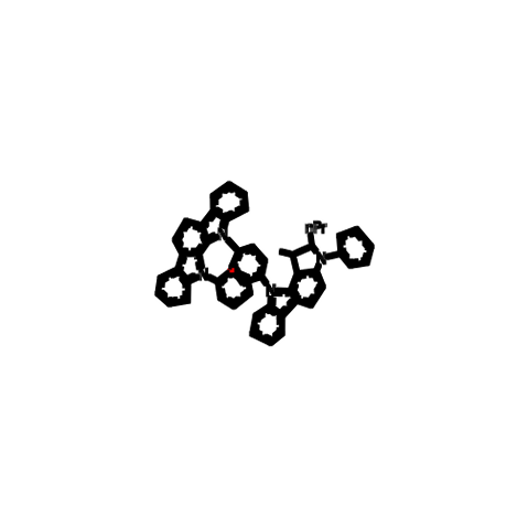 CCCC1C(C)c2c(ccc3c4ccccc4n(-c4ccc(-n5c6ccccc6c6ccc7c8ccccc8n(-c8ccccc8)c7c65)cc4)c23)N1c1ccccc1